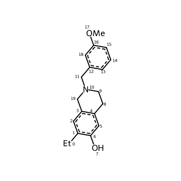 CCc1cc2c(cc1O)CCN(Cc1cccc(OC)c1)C2